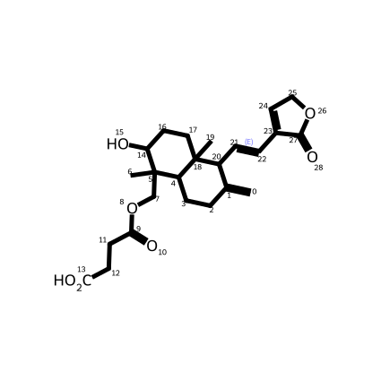 C=C1CCC2C(C)(COC(=O)CCC(=O)O)C(O)CCC2(C)C1/C=C/C1=CCOC1=O